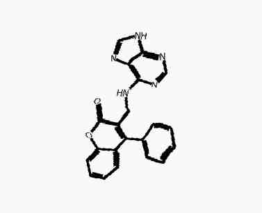 O=c1oc2ccccc2c(-c2ccccc2)c1CNc1ncnc2[nH]cnc12